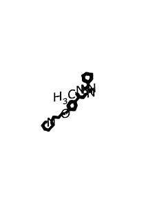 Cc1nn2c(-c3ccccc3)nnc2cc1-c1ccc(OCCCN2CCCCC2)cc1